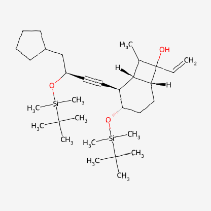 C=CC1(O)C(C)[C@H]2[C@H](C#C[C@H](CC3CCCC3)O[Si](C)(C)C(C)(C)C)[C@@H](O[Si](C)(C)C(C)(C)C)CC[C@H]21